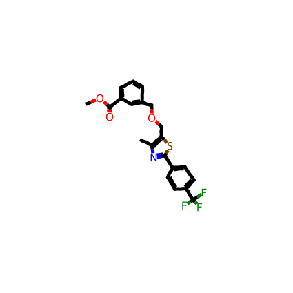 COC(=O)c1cccc(COCc2sc(-c3ccc(C(F)(F)F)cc3)nc2C)c1